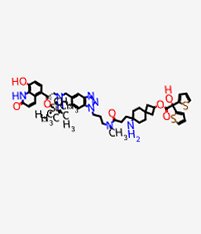 CN(CCCn1nnc2cc(CNC[C@H](O[Si](C)(C)C(C)(C)C)c3ccc(O)c4[nH]c(=O)ccc34)ccc21)C(=O)CCC1(N)CCC2(CC1)CC(OC(=O)C(O)(c1cccs1)c1cccs1)C2